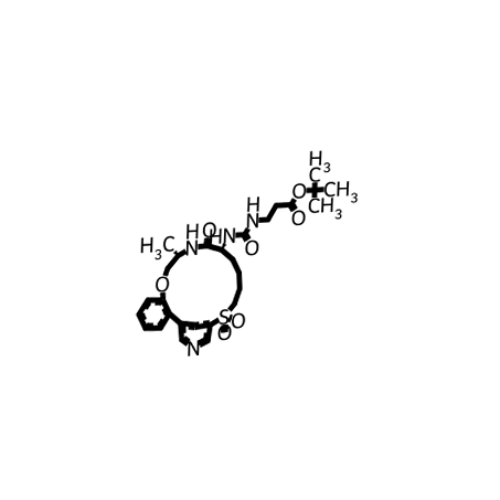 C[C@@H]1COc2ccccc2-c2cncc(c2)S(=O)(=O)CCCC[C@H](NC(=O)NCCC(=O)OC(C)(C)C)C(=O)N1